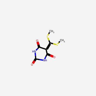 CSC(SC)=C1C(=O)NC(=O)NC1=O